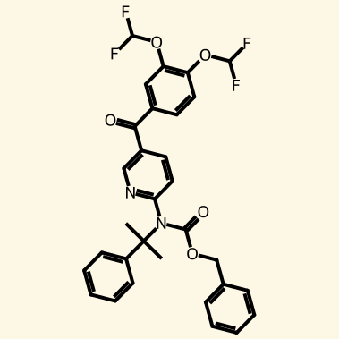 CC(C)(c1ccccc1)N(C(=O)OCc1ccccc1)c1ccc(C(=O)c2ccc(OC(F)F)c(OC(F)F)c2)cn1